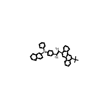 [2H]/C(=C(/[2H])c1cc2c3ccccc3c(C(C)(C)C)cc2c2ccccc12)c1ccc(N(c2ccccc2)c2ccc3ccccc3c2)cc1